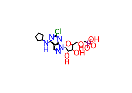 O=P(O)(O)COCC1O[C@@H](n2ncc3c(NC4CCCC4)nc(Cl)nc32)[C@H](O)[C@@H]1O